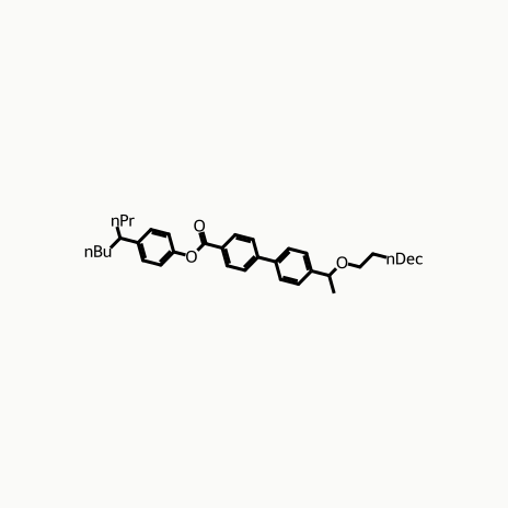 CCCCCCCCCCCCOC(C)c1ccc(-c2ccc(C(=O)Oc3ccc(C(CCC)CCCC)cc3)cc2)cc1